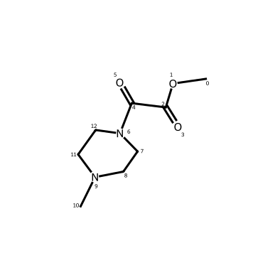 COC(=O)C(=O)N1CCN(C)CC1